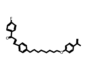 C=C(C)c1ccc(OCCCCCCCCc2ccc(C=CC(=O)c3ccc(F)cc3)cc2)cc1